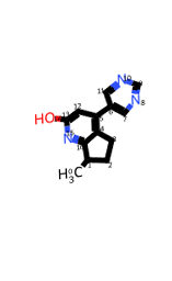 CC1CCc2c(-c3cncnc3)cc(O)nc21